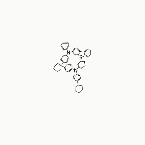 c1ccc(N(c2ccc(C3CCCCC3)cc2)c2ccc(C3(c4ccc(N(c5ccccc5)c5ccc6c(c5)sc5ccccc56)cc4)CCCCC3)cc2)cc1